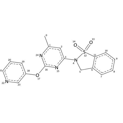 Cc1cc(N2Cc3ccccc3S2(=O)=O)nc(Oc2cccnc2)n1